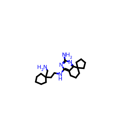 NCC1(CCNc2nc(N)nc3c2CCCC32CCCC2)CCCCC1